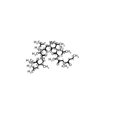 CCCC(=O)N(C)CC(=O)N(C)[C@@H](CC(C)C)C(=O)N[C@H](C(=O)N(C)[C@@H](CC(C)C)C(=O)N[C@H](C)C(=O)NCN(C)[C@@H](CC(C)C)C(=O)NC)C(C)C